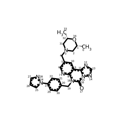 C[C@@H]1CN(Cc2cnc3c(c2)c2ncnn2c(=O)n3Cc2ccc(-n3cccn3)cc2)C[C@H](C)O1